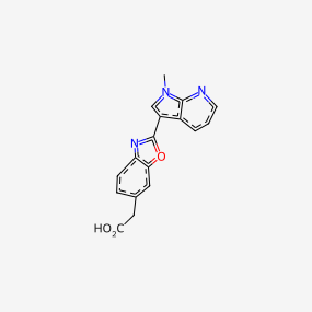 Cn1cc(-c2nc3ccc(CC(=O)O)cc3o2)c2cccnc21